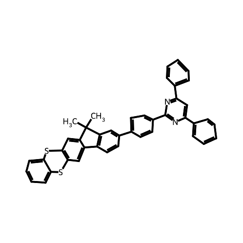 CC1(C)c2cc(-c3ccc(-c4nc(-c5ccccc5)cc(-c5ccccc5)n4)cc3)ccc2-c2cc3c(cc21)Sc1ccccc1S3